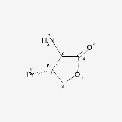 CC(C)[C@H]1COC(=O)C1N